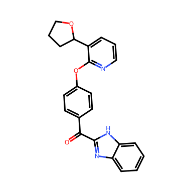 O=C(c1ccc(Oc2ncccc2C2CCCO2)cc1)c1nc2ccccc2[nH]1